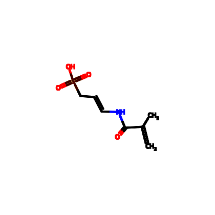 C=C(C)C(=O)NC=CCS(=O)(=O)O